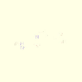 CC(C)N[C@H]1C[C@@H](Oc2cc(/C=C/C(=O)C(C)C)ccn2)C1